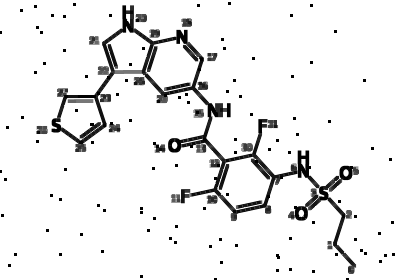 CCCS(=O)(=O)Nc1ccc(F)c(C(=O)Nc2cnc3[nH]cc(-c4ccsc4)c3c2)c1F